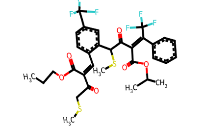 CCCOC(=O)C(=Cc1ccc(C(F)(F)F)cc1C(SC)C(=O)C(C(=O)OC(C)C)=C(c1ccccc1)C(F)(F)F)C(=O)CSC